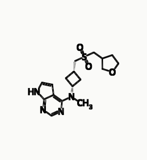 CN(c1ncnc2[nH]ccc12)[C@H]1C[C@@H](CS(=O)(=O)CC2CCOC2)C1